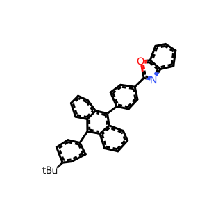 CC(C)(C)c1ccc(-c2c3ccccc3c(-c3ccc(-c4nc5ccccc5o4)cc3)c3ccccc23)cc1